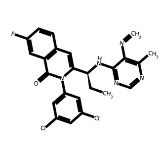 C=Nc1c(C)ncnc1N[C@@H](CC)c1cc2ccc(F)cc2c(=O)n1-c1cc(Cl)cc(Cl)c1